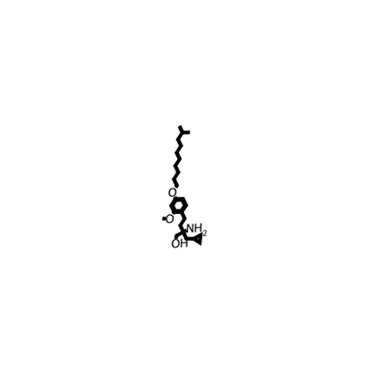 COc1cc(OCCCCCCCCC(C)C)ccc1CCC(N)(CO)CC1CC1